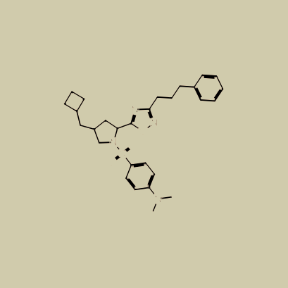 CN(C)c1ccc(S(=O)(=O)N2CC(CC3CCC3)CC2c2nc(CCCc3ccccc3)no2)cc1